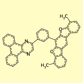 Cc1cccc2c1oc1c(-c3cccc(-c4cnc5c6ccccc6c6ccccc6c5n4)c3)c3oc4c(C)cccc4c3cc12